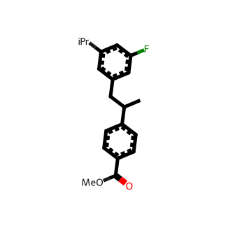 COC(=O)c1ccc(C(C)Cc2cc(F)cc(C(C)C)c2)cc1